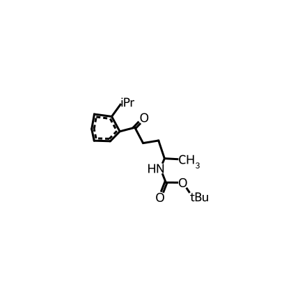 CC(CCC(=O)c1ccccc1C(C)C)NC(=O)OC(C)(C)C